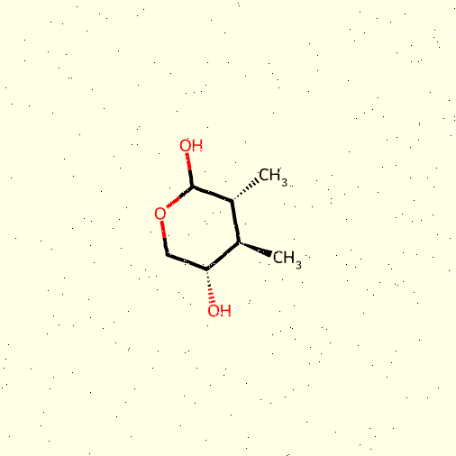 C[C@H]1[C@H](O)COC(O)[C@@H]1C